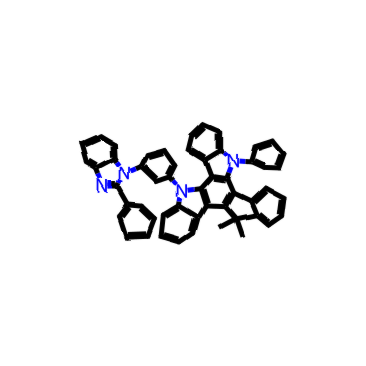 CC1(C)c2ccccc2-c2c1c1c3ccccc3n(-c3cccc(-n4c(-c5ccccc5)nc5ccccc54)c3)c1c1c3ccccc3n(-c3ccccc3)c21